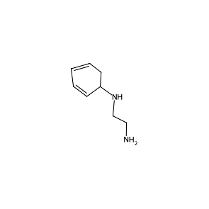 NCCNC1C=CC=CC1